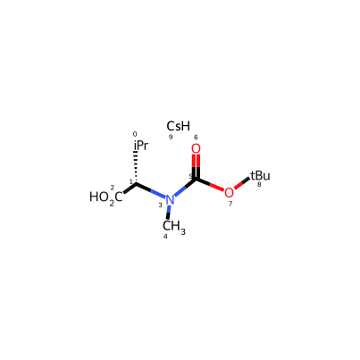 CC(C)[C@@H](C(=O)O)N(C)C(=O)OC(C)(C)C.[CsH]